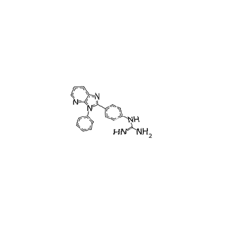 N=C(N)Nc1ccc(-c2nc3cccnc3n2-c2ccccc2)cc1